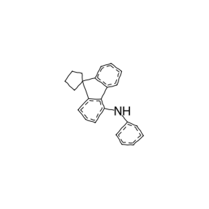 c1ccc(Nc2cccc3c2-c2ccccc2C32CCCC2)cc1